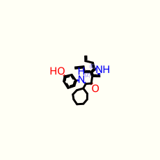 C=C/C=c1/c(C(=O)C(Nc2cccc(O)c2)C2CCCCCCC2)c[nH]/c1=C/C=C